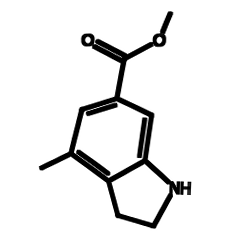 COC(=O)c1cc(C)c2c(c1)NCC2